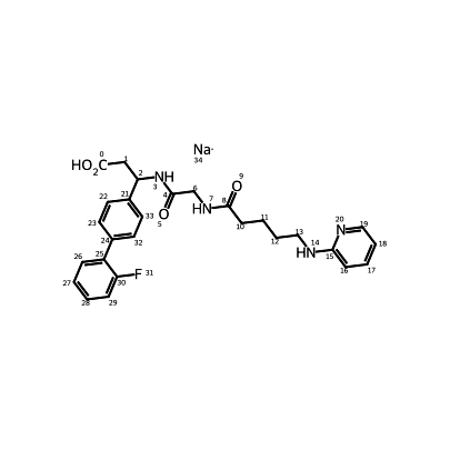 O=C(O)CC(NC(=O)CNC(=O)CCCCNc1ccccn1)c1ccc(-c2ccccc2F)cc1.[Na]